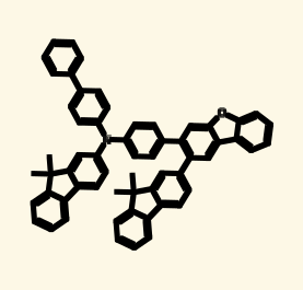 CC1(C)c2ccccc2-c2ccc(-c3cc4c(cc3-c3ccc(N(c5ccc(-c6ccccc6)cc5)c5ccc6c(c5)C(C)(C)c5ccccc5-6)cc3)oc3ccccc34)cc21